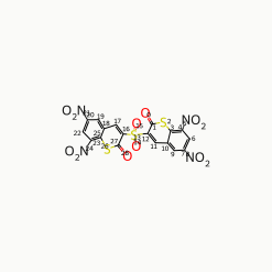 O=c1sc2c([N+](=O)[O-])cc([N+](=O)[O-])cc2cc1S(=O)(=O)c1cc2cc([N+](=O)[O-])cc([N+](=O)[O-])c2sc1=O